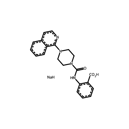 O=C(O)c1ccccc1NC(=O)N1CCN(c2nccc3ccccc23)CC1.[NaH]